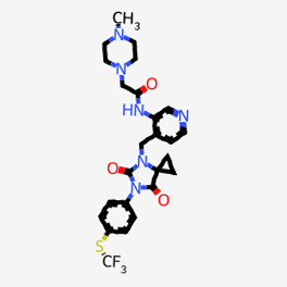 CN1CCN(CC(=O)Nc2cnccc2CN2C(=O)N(c3ccc(SC(F)(F)F)cc3)C(=O)C23CC3)CC1